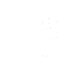 CC(/C=C/C(=O)NS(=O)(=O)c1ccc(OC(F)(F)F)cc1)[C@H]1CC[C@H]2[C@@H]3C=CC4=CC(=O)CC[C@]4(C)[C@H]3CC[C@]12C